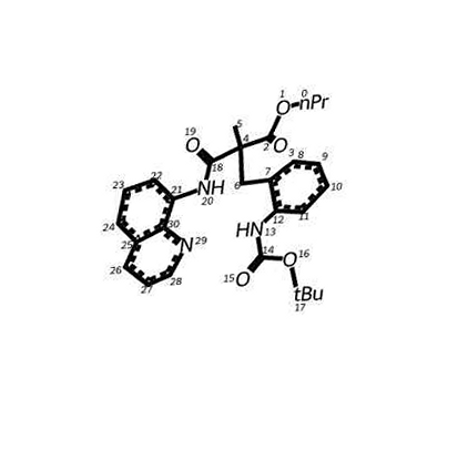 CCCOC(=O)C(C)(Cc1ccccc1NC(=O)OC(C)(C)C)C(=O)Nc1cccc2cccnc12